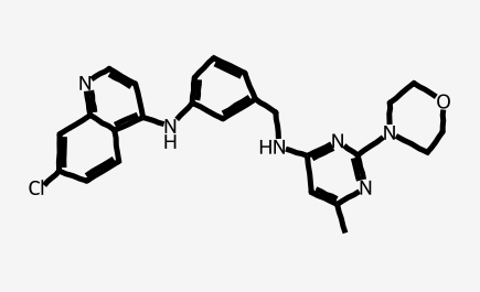 Cc1cc(NCc2cccc(Nc3ccnc4cc(Cl)ccc34)c2)nc(N2CCOCC2)n1